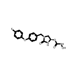 O=C(NO)O[C@@H]1CN(Cc2ccc(Oc3ccc(F)cc3)cc2)C(=O)N1